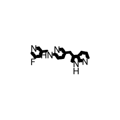 Fc1cncc(CNc2ccc(Cc3c[nH]c4ncccc34)cn2)c1